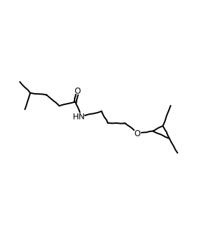 CC(C)CCC(=O)NCCCOC1C(C)C1C